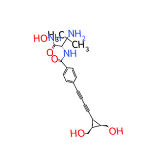 CC(C)(N)[C@H](NC(=O)c1ccc(C#CC#CC2[C@@H](CO)[C@H]2CO)cc1)C(=O)NO